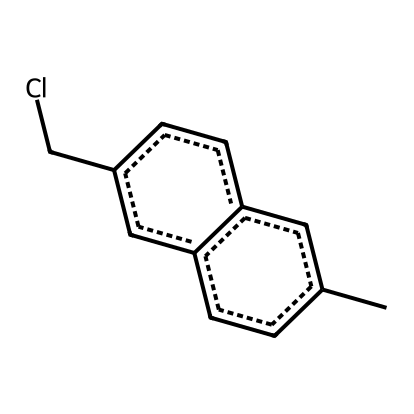 Cc1ccc2cc(CCl)ccc2c1